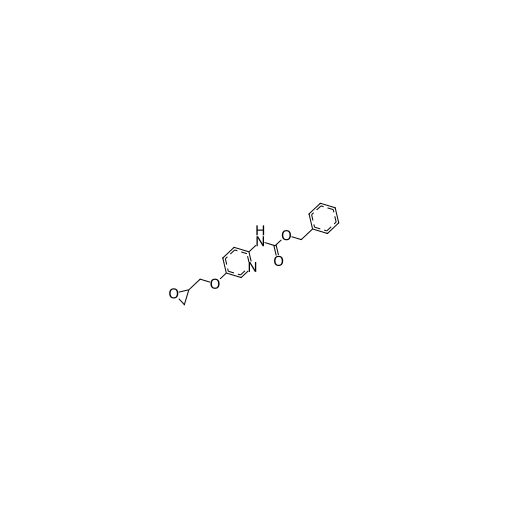 O=C(Nc1ccc(OCC2CO2)cn1)OCc1ccccc1